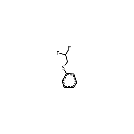 FC(F)CSc1cc[c]cc1